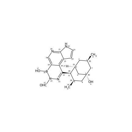 C[C@@H]1C[C@H]2C[C@@](O)(C1)C[C@@H](C)[C@H]2C1=NN(C=O)B(O)c2cnc3[nH]ccc3c21